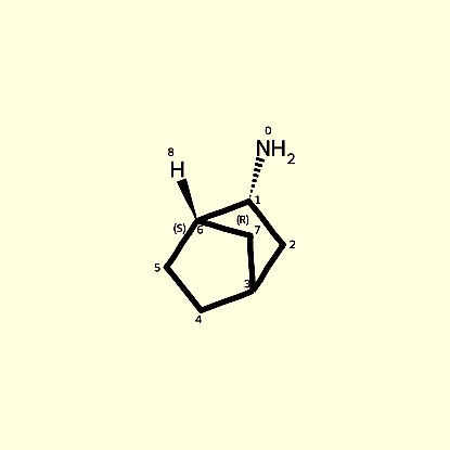 N[C@@H]1CC2CC[C@H]1C2